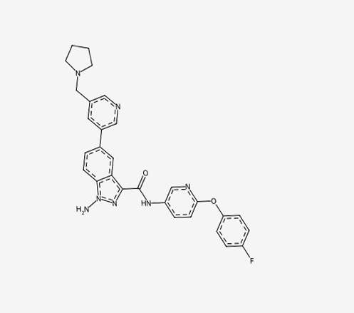 Nn1nc(C(=O)Nc2ccc(Oc3ccc(F)cc3)nc2)c2cc(-c3cncc(CN4CCCC4)c3)ccc21